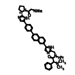 CCCN(Cc1ncc(-c2ccc3cc(-c4ccc(-c5cnc([C@@H]6CCCN6C(=O)CNC)[nH]5)cc4)ccc3c2)[nH]1)C(=O)C(c1ccccc1)N(C)C